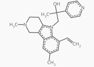 C=Cc1cc(C)cc2c3c(n(CC(C)(O)c4ccncc4)c12)CCN(C)C3